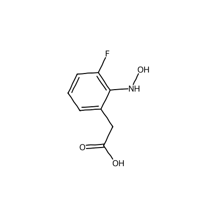 O=C(O)Cc1cccc(F)c1NO